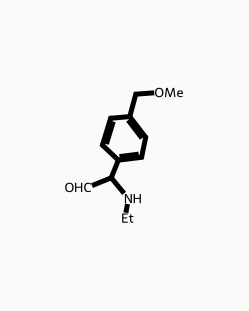 CCNC(C=O)c1ccc(COC)cc1